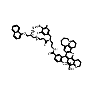 CCCCc1cc2c(c3c1=NCCC3)Oc1c(cc3c4c1CCCN4CCCC3)C=2c1cc(C(=O)NCCN(Cc2cc(F)c(N=[N+]=[N-])c(F)c2)C(=O)CCNC[C@H](O)COc2cccc3ccccc23)ccc1C(=O)O